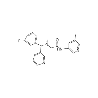 Cc1cncc(NC(=O)CNC(c2cccnc2)c2cccc(F)c2)c1